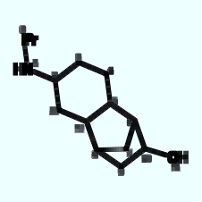 CC(C)NC1CCC2C3CC(CC3O)C2C1